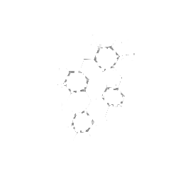 Cc1c(Cc2cc(Cc3ccc(O)cc3)c(O)c(C)c2C)cc(Cc2ccc(O)cc2)c(O)c1C